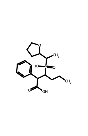 CCCC(C(C(=O)O)c1ccccc1)P(=O)(O)C(C)C1CCCO1